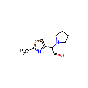 Cc1nc(C(C=O)N2CCCC2)cs1